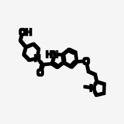 CN1CCCC1CCOc1ccc2[nH]c(C(=O)N3CCC(CO)CC3)cc2c1